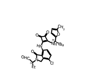 CC[C@@H](C=O)N1Cc2c(Cl)ccc(Nc3c(N[C@@H](c4ccc(C)o4)C(C)(C)C)c(=O)c3=O)c2C1=O